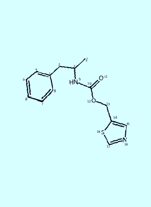 [CH2]C(Cc1ccccc1)NC(=O)OCc1cncs1